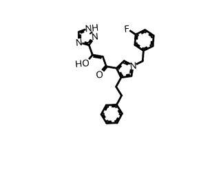 O=C(C=C(O)c1nc[nH]n1)c1cn(Cc2cccc(F)c2)cc1CCc1ccccc1